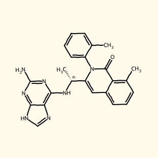 Cc1ccccc1-n1c([C@@H](C)Nc2nc(N)nc3[nH]cnc23)cc2cccc(C)c2c1=O